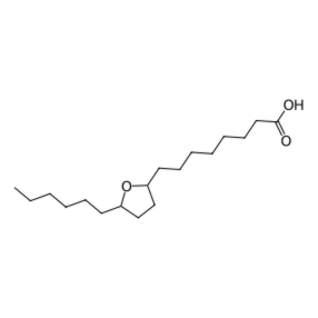 CCCCCCC1CCC(CCCCCCCC(=O)O)O1